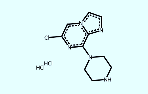 Cl.Cl.Clc1cn2ccnc2c(N2CCNCC2)n1